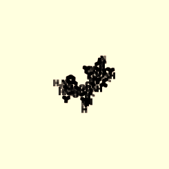 CC(C)C[C@H](CNC(=O)[C@H](CC(C)C)NC(=O)[C@H](C)NC(=O)[C@H](Cc1cnc[nH]1)NC(=O)[C@H](Cc1ccccc1)NC(=O)[C@H](CC(C)C)NC(=O)CN)C(=O)N[C@@H](Cc1cnc[nH]1)C(=O)N[C@@H](CC(C)C)C(=O)N[C@H](C)CC(C)C